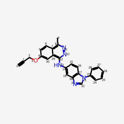 C#CCOc1ccc2c(C)nnc(Nc3ccc4c(c3)ncn4-c3ccccc3)c2c1